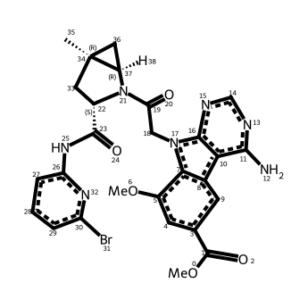 COC(=O)c1cc(OC)c2c(c1)c1c(N)ncnc1n2CC(=O)N1[C@H](C(=O)Nc2cccc(Br)n2)C[C@@]2(C)C[C@@H]12